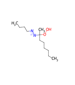 CCCCCCC(C)(/N=N/CCCC)OO